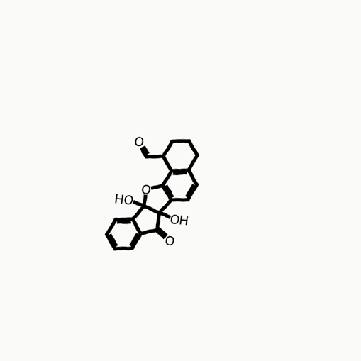 O=CC1CCCc2ccc3c(c21)OC1(O)c2ccccc2C(=O)C31O